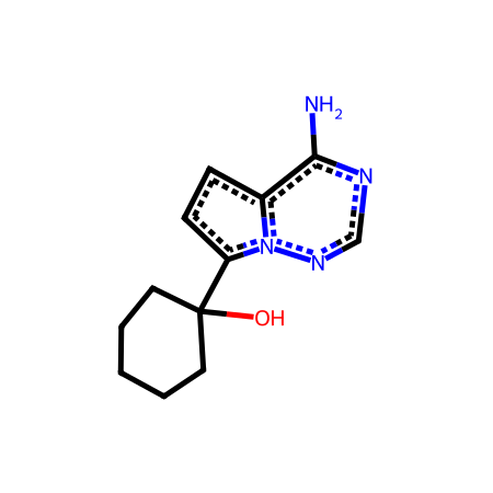 Nc1ncnn2c(C3(O)CCCCC3)ccc12